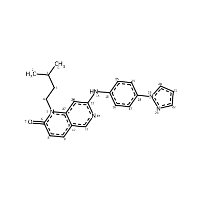 CC(C)CCn1c(=O)ccc2cnc(Nc3ccc(-n4cccn4)cc3)cc21